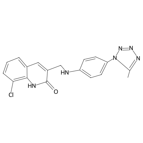 Cc1nnnn1-c1ccc(NCc2cc3cccc(Cl)c3[nH]c2=O)cc1